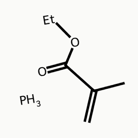 C=C(C)C(=O)OCC.P